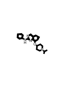 CC(C)N1CCC(Oc2cccc3cnc(Nc4ccccc4)nc23)CC1